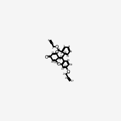 C#CCOC(=O)c1ccccc1-c1c2ccc(=O)cc-2oc2cc(OCC#C)ccc12